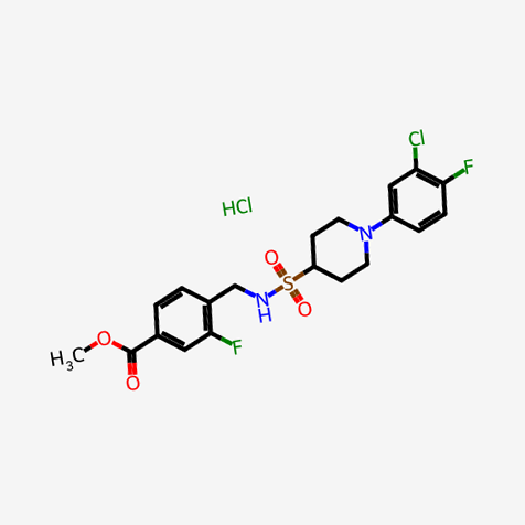 COC(=O)c1ccc(CNS(=O)(=O)C2CCN(c3ccc(F)c(Cl)c3)CC2)c(F)c1.Cl